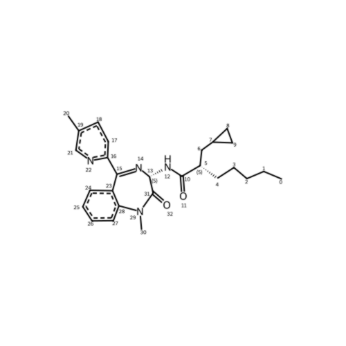 CCCCC[C@@H](CC1CC1)C(=O)N[C@H]1N=C(c2ccc(C)cn2)c2ccccc2N(C)C1=O